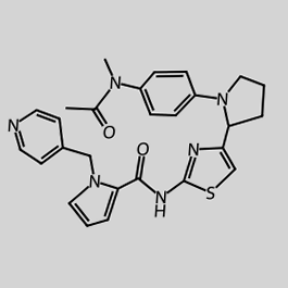 CC(=O)N(C)c1ccc(N2CCCC2c2csc(NC(=O)c3cccn3Cc3ccncc3)n2)cc1